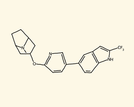 CN1C2CCC1CC(Oc1ccc(-c3ccc4[nH]c(C(F)(F)F)cc4c3)cn1)C2